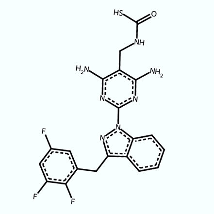 Nc1nc(-n2nc(Cc3cc(F)cc(F)c3F)c3ccccc32)nc(N)c1CNC(=O)S